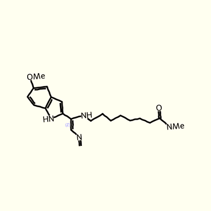 C=N/C=C(\NCCCCCCCC(=O)NC)c1cc2cc(OC)ccc2[nH]1